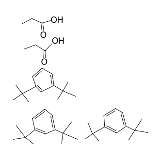 CC(C)(C)c1cccc(C(C)(C)C)c1.CC(C)(C)c1cccc(C(C)(C)C)c1.CC(C)(C)c1cccc(C(C)(C)C)c1.CCC(=O)O.CCC(=O)O